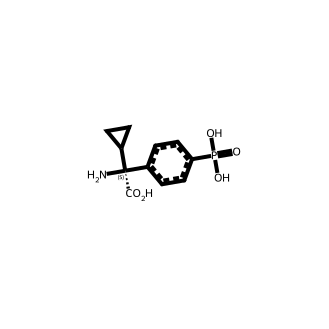 N[C@](C(=O)O)(c1ccc(P(=O)(O)O)cc1)C1CC1